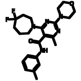 Cc1cccc(NC(=O)c2c(C)nc(N3CCOCC3)nc2N2CCCC(F)(F)CC2)c1